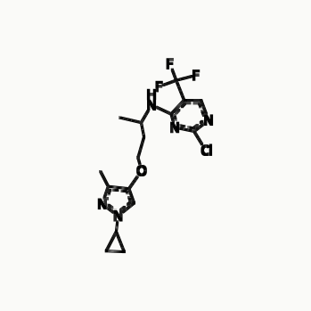 Cc1nn(C2CC2)cc1OCCC(C)Nc1nc(Cl)ncc1C(F)(F)F